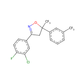 Fc1ccc(C2=NOC(c3cccc(C(F)(F)F)c3)(C(F)(F)F)C2)cc1Cl